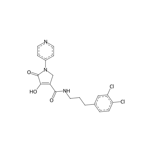 O=C(NCCCc1ccc(Cl)c(Cl)c1)C1=C(O)C(=O)N(c2ccncc2)C1